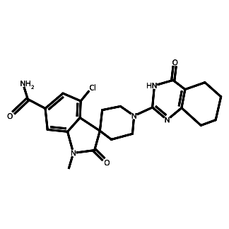 CN1C(=O)C2(CCN(c3nc4c(c(=O)[nH]3)CCCC4)CC2)c2c(Cl)cc(C(N)=O)cc21